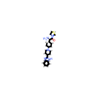 N[C@H](C(=O)N1CCSC1)[C@H]1CC[C@H](N2CCC(c3nc4ccccc4[nH]3)CC2)CC1